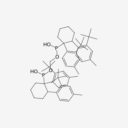 Cc1ccc(C2CCCCC2(c2ccc(C)cc2C(C)(C)C)P(O)OCOP(O)C2(c3ccc(C)cc3C(C)(C)C)CCCCC2c2ccc(C)cc2C(C)(C)C)c(C(C)(C)C)c1